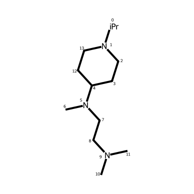 CC(C)N1CCC(N(C)CCN(C)C)CC1